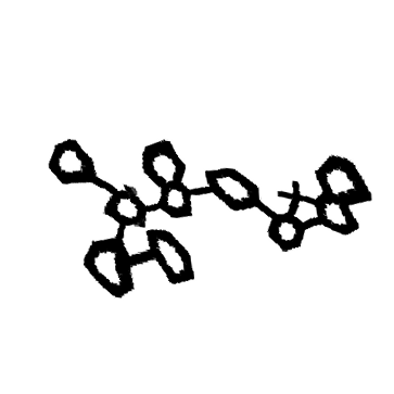 CC1(C)c2c(-c3cccc(-c4ccc(-c5nc(-c6ccccc6)cc(-c6ccccc6-c6ccccc6)n5)c5ccccc45)c3)cccc2-c2ccc3ccccc3c21